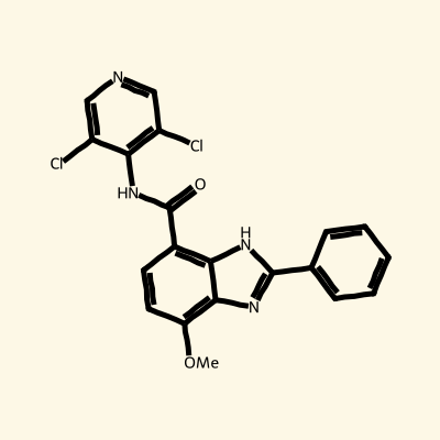 COc1ccc(C(=O)Nc2c(Cl)cncc2Cl)c2[nH]c(-c3ccccc3)nc12